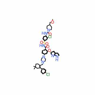 COCC1CCN(C(=O)Nc2ccc(S(=O)(=O)NC(=O)c3ccc(N4CCN(CC5=C(c6ccc(Cl)cc6)CC(C)(C)CC5)CC4)cc3Oc3cnc4[nH]ccc4c3)cc2Cl)CC1